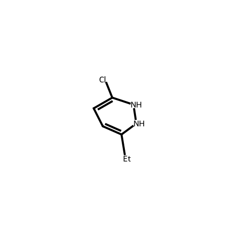 CCC1=CC=C(Cl)NN1